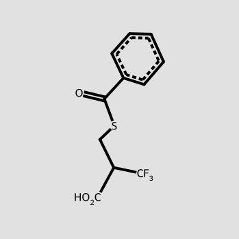 O=C(SCC(C(=O)O)C(F)(F)F)c1ccccc1